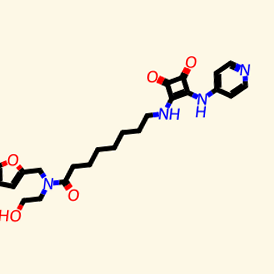 O=C(CCCCCCCNc1c(Nc2ccncc2)c(=O)c1=O)N(CCO)Cc1ccco1